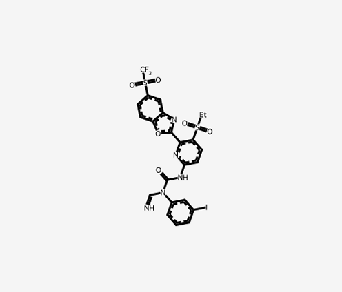 CCS(=O)(=O)c1ccc(NC(=O)N(C=N)c2cccc(I)c2)nc1-c1nc2cc(S(=O)(=O)C(F)(F)F)ccc2o1